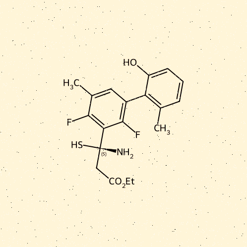 CCOC(=O)C[C@](N)(S)c1c(F)c(C)cc(-c2c(C)cccc2O)c1F